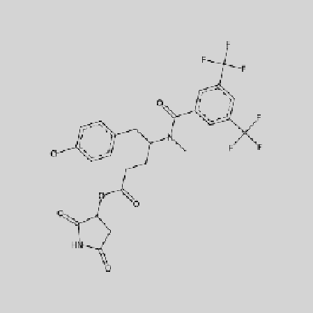 CN(C(=O)c1cc(C(F)(F)F)cc(C(F)(F)F)c1)C(CCC(=O)OC1CC(=O)NC1=O)Cc1ccc(Cl)cc1